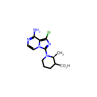 C[C@H]1C(C(=O)O)CCCN1c1nc(Br)c2c(N)nccn12